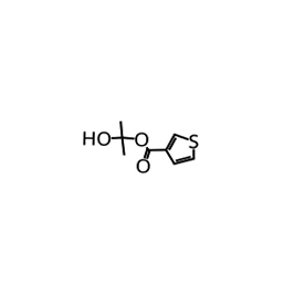 CC(C)(O)OC(=O)c1ccsc1